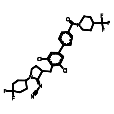 N#C/N=C1/C(Cc2c(Cl)cc(-c3ccc(C(=O)N4CCC(C(F)(F)F)CC4)cc3)cc2Cl)CCN1C1CCC(F)(F)CC1